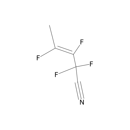 C/C(F)=C(\F)C(F)(F)C#N